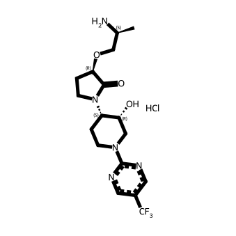 C[C@H](N)CO[C@@H]1CCN([C@H]2CCN(c3ncc(C(F)(F)F)cn3)C[C@H]2O)C1=O.Cl